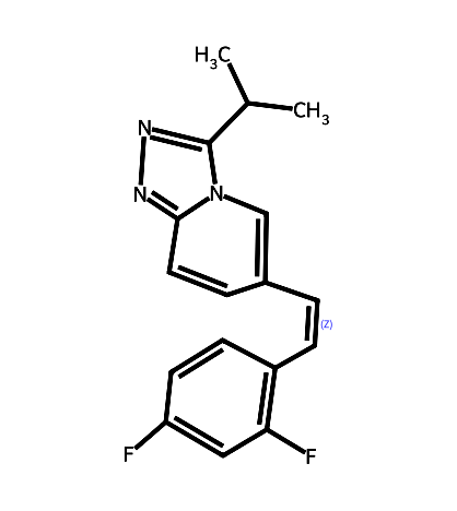 CC(C)c1nnc2ccc(/C=C\c3ccc(F)cc3F)cn12